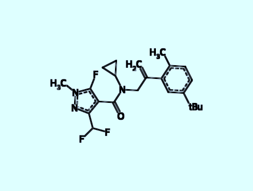 C=C(CN(C(=O)c1c(C(F)F)nn(C)c1F)C1CC1)c1cc(C(C)(C)C)ccc1C